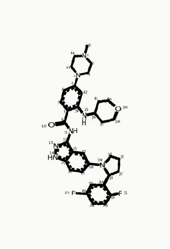 CN1CCN(c2ccc(C(=O)Nc3n[nH]c4ccc(N5CCCC5c5cc(F)ccc5F)cc34)c(NC3CCOCC3)c2)CC1